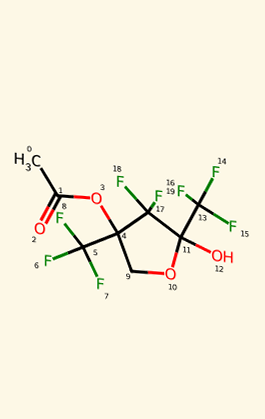 CC(=O)OC1(C(F)(F)F)COC(O)(C(F)(F)F)C1(F)F